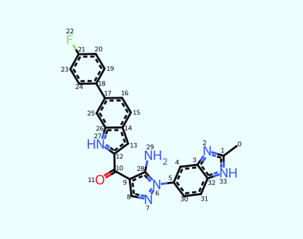 Cc1nc2cc(-n3ncc(C(=O)c4cc5ccc(-c6ccc(F)cc6)cc5[nH]4)c3N)ccc2[nH]1